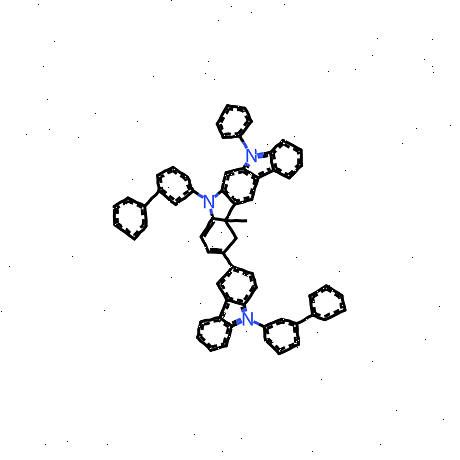 CC12CC(c3ccc4c(c3)c3ccccc3n4-c3cccc(-c4ccccc4)c3)=CC=C1N(c1cccc(-c3ccccc3)c1)c1cc3c(cc12)c1ccccc1n3-c1ccccc1